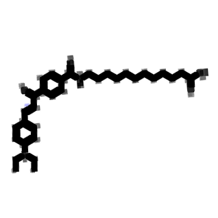 CCN(CC)c1ccc(/C=C/C(=O)c2ccc(C(=O)NCCCCCCCCCCCC(=O)O)cc2)cc1